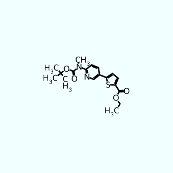 CCOC(=O)c1ccc(-c2ccc(N(C)C(=O)OC(C)(C)C)nc2)s1